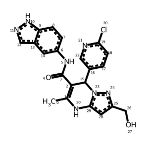 CC1=C(C(=O)Nc2ccc3[nH]ncc3c2)C(c2ccc(Cl)nc2)n2nc(CO)cc2N1